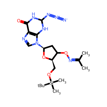 CC(C)=NOC1C[C@H](n2cnc3c2NC(N=[N+]=[N-])NC3=O)O[C@@H]1CO[Si](C)(C)C(C)(C)C